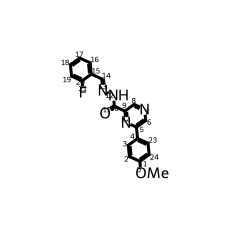 COc1ccc(-c2cncc(C(=O)NN=Cc3ccccc3F)n2)cc1